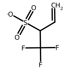 C=CC(C(F)(F)F)S([O])(=O)=O